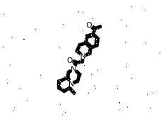 CC(=O)c1ccc2c(c1)CCN(CC(=O)N1CCN3C(C)CCCC3C1)C2